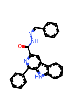 O=C(N/N=C\c1ccccc1)c1cc2c([nH]c3ccccc32)c(-c2ccccc2)n1